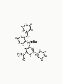 CCCCN(c1nc(C(N)=O)cc(-c2ccccc2)n1)c1ccccc1Cc1ccccc1